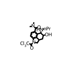 CCCNC1c2c(C(=O)N(C)C)ccc3c2C(CC1O)CN3C(=O)C(Cl)(Cl)Cl